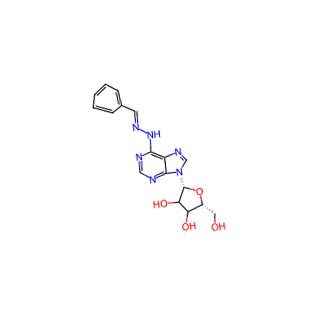 OC[C@H]1O[C@@H](n2cnc3c(N/N=C/c4ccccc4)ncnc32)C(O)C1O